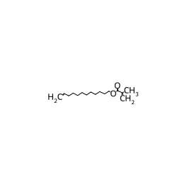 C=CCCCCCCCCCCOC(=O)C(=C)C